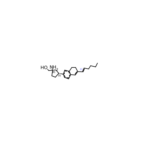 CCCC/C=C/C1=Cc2ccc([C@H]3CC[C@](N)(CO)C3)cc2CC1